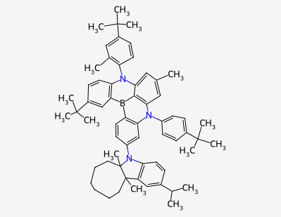 Cc1cc2c3c(c1)N(c1ccc(C(C)(C)C)cc1C)c1ccc(C(C)(C)C)cc1B3c1ccc(N3c4ccc(C(C)C)cc4C4(C)CCCCCCC34C)cc1N2c1ccc(C(C)(C)C)cc1